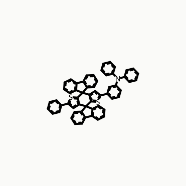 c1ccc(-c2cc3c(s2)C2(c4ccccc4-c4ccccc42)c2cc(-c4cccc(N(c5ccccc5)c5ccccc5)c4)sc2C32c3ccccc3-c3ccccc32)cc1